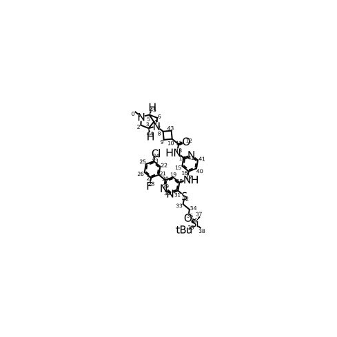 CN1C[C@@H]2C[C@H]1CN2C1CC(C(=O)Nc2cc(Nc3cc(-c4cc(Cl)ccc4F)nnc3SCCO[Si](C)(C)C(C)(C)C)ccn2)C1